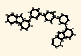 C1=Cc2sc3c(-c4cccc(-c5ncc(-c6cccc(-c7cccc8c7sc7ccccc78)c6)cn5)c4)cccc3c2CC1